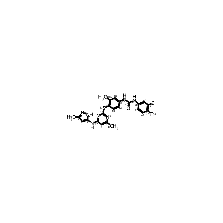 Cc1cc(Nc2cc(C)nc(Sc3ccc(NC(=O)Nc4ccc(F)c(Cl)c4)cc3C)n2)[nH]n1